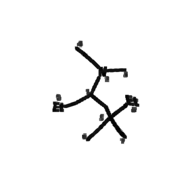 CCC(N(C)C)C(C)(C)CC